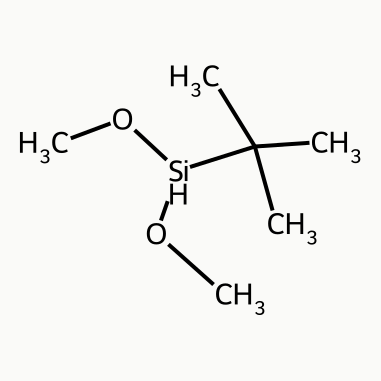 CO[SiH](OC)C(C)(C)C